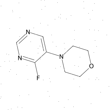 Fc1ncncc1N1CCOCC1